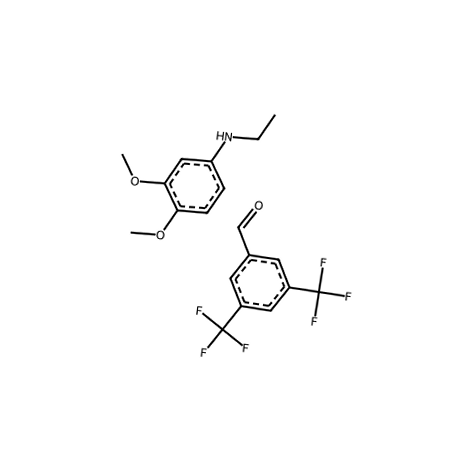 CCNc1ccc(OC)c(OC)c1.O=Cc1cc(C(F)(F)F)cc(C(F)(F)F)c1